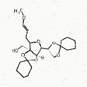 CO/C=C/CC1O[C@@H]([C@H]2COC3(CCCCC3)O2)[C@H]2OC3(CCCCC3)O[C@@]12CO